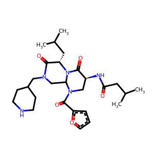 CC(C)CC(=O)N[C@H]1CN(C(=O)c2ccco2)C2CN(CC3CCNCC3)C(=O)[C@H](CC(C)C)N2C1=O